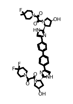 CC1(F)CCN(C(=O)C(=O)N2C[C@H](O)C[C@H]2c2nc(-c3ccc(-c4ccc(-c5c[nH]c([C@@H]6C[C@@H](O)CN6C(=O)C(=O)N6CCC(F)(F)CC6)n5)cc4)cc3)c[nH]2)CC1